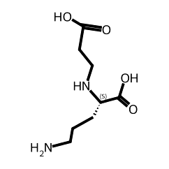 NCCC[C@H](NCCC(=O)O)C(=O)O